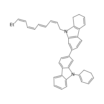 CC\C=C/C=C\C=C\C=C/Cn1c2c(c3ccc(-c4ccc5c6ccccc6n(C6=CC=CCC6)c5c4)cc31)C=CCC2